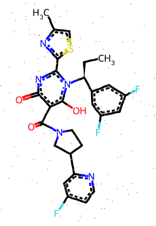 CC[C@@H](c1cc(F)cc(F)c1)n1c(-c2nc(C)cs2)nc(=O)c(C(=O)N2CCC(c3cc(F)ccn3)C2)c1O